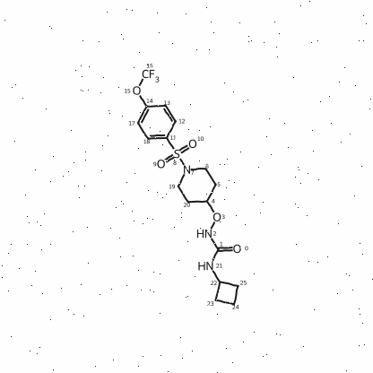 O=C(NOC1CCN(S(=O)(=O)c2ccc(OC(F)(F)F)cc2)CC1)NC1CCC1